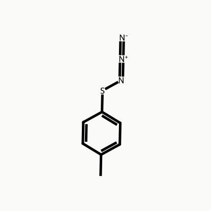 Cc1ccc(SN=[N+]=[N-])cc1